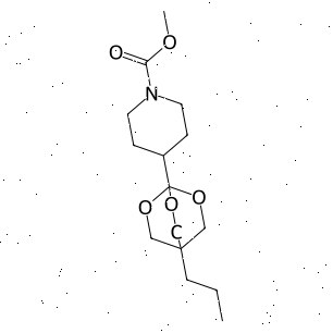 CCCC12COC(C3CCN(C(=O)OC)CC3)(OC1)OC2